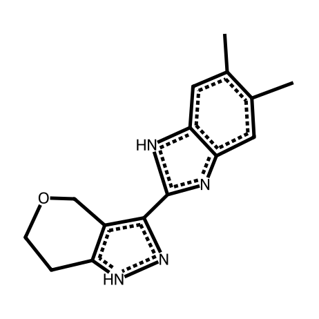 Cc1cc2nc(-c3n[nH]c4c3COCC4)[nH]c2cc1C